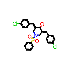 O=C1/C(=C/c2ccc(Cl)cc2)CN(S(=O)(=O)c2ccccc2)C/C1=C\c1ccc(Cl)cc1